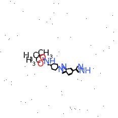 CC(C)(C)OC(=O)NCC1CCC(n2cc3ccc(-c4cn[nH]c4)cc3n2)CC1